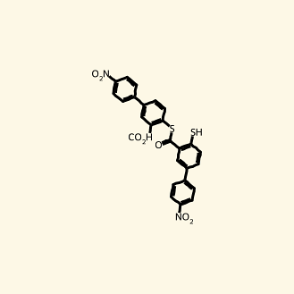 O=C(Sc1ccc(-c2ccc([N+](=O)[O-])cc2)cc1C(=O)O)c1cc(-c2ccc([N+](=O)[O-])cc2)ccc1S